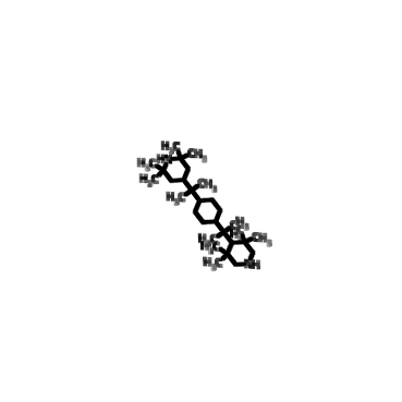 CC1(C)CC(C(C)(C)C2CCC(C(C)(C)C3C(C)(C)CNCC3(C)C)CC2)CC(C)(C)N1